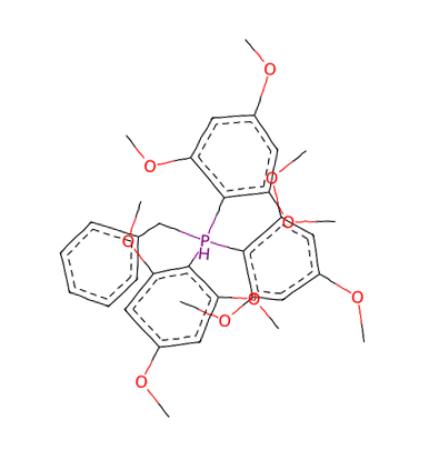 COc1cc(OC)c([PH](Cc2ccccc2)(c2c(OC)cc(OC)cc2OC)c2c(OC)cc(OC)cc2OC)c(OC)c1